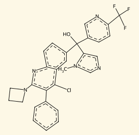 Cn1cncc1C(O)(c1ccc(C(F)(F)F)nc1)c1ccc2nc(N3CCC3)c(-c3ccccc3)c(Cl)c2c1